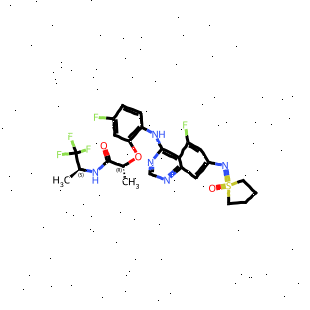 C[C@H](NC(=O)[C@@H](C)Oc1cc(F)ccc1Nc1ncnc2cc(N=S3(=O)CCCC3)cc(F)c12)C(F)(F)F